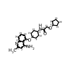 Cc1cc(N)c2c(O[C@H]3CC[C@H](NC(=O)COC4CCCC4)CC3)cccc2n1